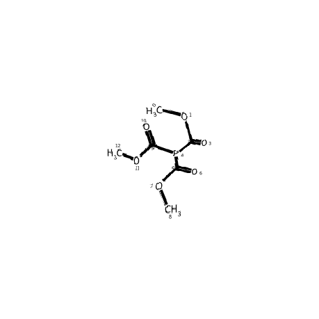 COC(=O)P(C(=O)OC)C(=O)OC